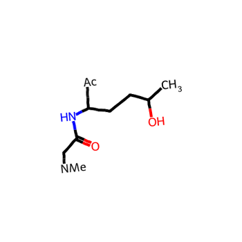 CNCC(=O)NC(CCC(C)O)C(C)=O